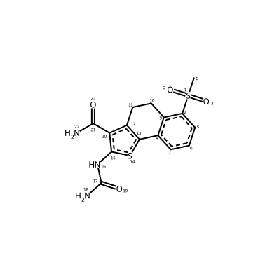 CS(=O)(=O)c1cccc2c1CCc1c-2sc(NC(N)=O)c1C(N)=O